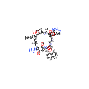 CO[C@H]1C[C@H](C)CC2=C(N)C(=O)C=C(C2=O)N(CC(=O)c2cccc3ccccc23)C(=O)/C(C)=C/C=C\[C@H](OC)[C@@H](OC(N)=O)/C(C)=C/[C@H](C)[C@@H](O)C1